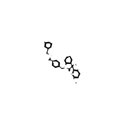 O=C(NCc1cccc(F)c1)c1ccc(CN2C(=O)C3(COc4cc5c(cc43)OCO5)c3ccccc32)cc1